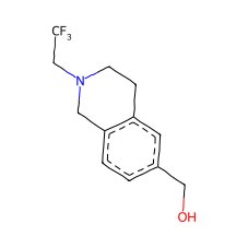 OCc1ccc2c(c1)CCN(CC(F)(F)F)C2